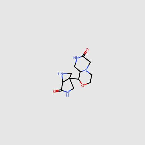 O=C1CN2CCOC(C34CNC(=O)C3NC4)C2CN1